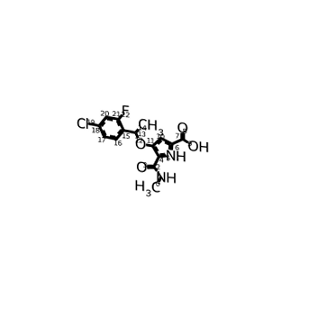 CNC(=O)c1[nH]c(C(=O)O)cc1OC(C)c1ccc(Cl)cc1F